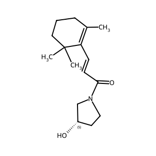 CC1=C(C=CC(=O)N2CC[C@H](O)C2)C(C)(C)CCC1